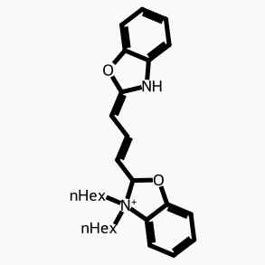 CCCCCC[N+]1(CCCCCC)c2ccccc2OC1C=CC=C1Nc2ccccc2O1